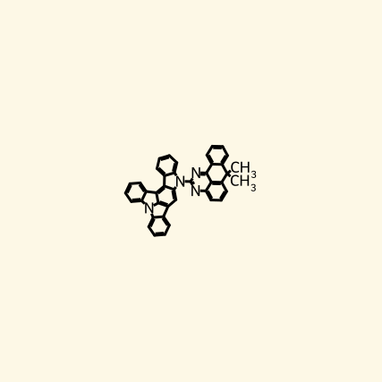 CC1(C)c2ccccc2-c2nc(-n3c4ccccc4c4c5c6ccccc6n6c7ccccc7c(cc43)c56)nc3cccc1c23